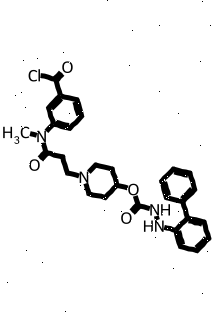 CN(C(=O)CCN1CCC(OC(=O)NNc2ccccc2-c2ccccc2)CC1)c1cccc(C(=O)Cl)c1